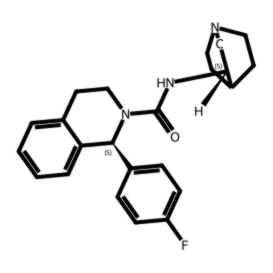 O=C(N[C@@H]1CN2CCC1CC2)N1CCc2ccccc2[C@@H]1c1ccc(F)cc1